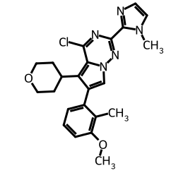 COc1cccc(-c2cn3nc(-c4nccn4C)nc(Cl)c3c2C2CCOCC2)c1C